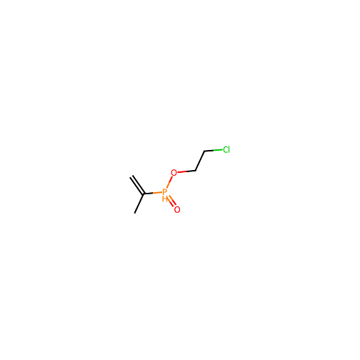 C=C(C)[PH](=O)OCCCl